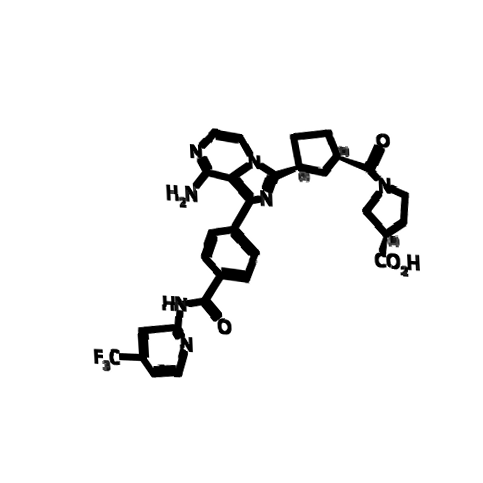 Nc1nccn2c([C@H]3CC[C@@H](C(=O)N4CC[C@@H](C(=O)O)C4)C3)nc(-c3ccc(C(=O)Nc4cc(C(F)(F)F)ccn4)cc3)c12